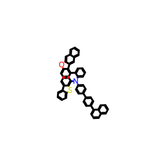 c1ccc(N(c2ccc(-c3ccc(-c4cccc5ccccc45)cc3)cc2)c2cccc3c2sc2ccccc23)c(-c2cccc3oc4cc5ccccc5cc4c23)c1